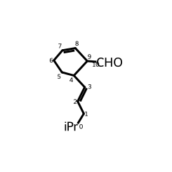 CC(C)CC=CC1CCC=CC1C=O